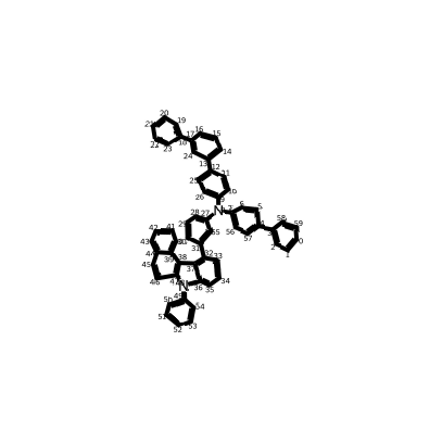 c1ccc(-c2ccc(N(c3ccc(-c4cccc(-c5ccccc5)c4)cc3)c3cccc(-c4cccc5c4c4c6ccccc6ccc4n5-c4ccccc4)c3)cc2)cc1